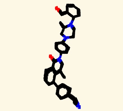 Cc1cn(-c2ccc(N3CCN(C4C=CC=CC4C=O)C(C)C3)cc2)c(=O)c2cccc(-c3ccc(C#N)cc3)c12